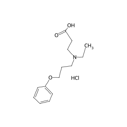 CCN(CCCOc1ccccc1)CCC(=O)O.Cl